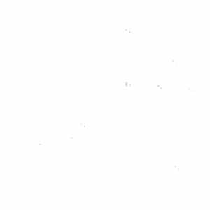 COc1c(Nc2nc(Nc3ccc(C(=O)N4CCOCC4)cc3)ncc2C(N)=O)cccc1-c1ccn(C2CCC23OCCO3)n1